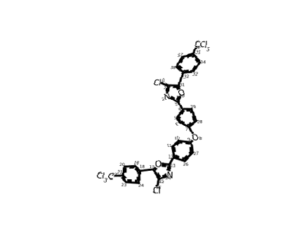 Clc1nc(-c2ccc(Oc3ccc(-c4nc(Cl)c(-c5ccc(C(Cl)(Cl)Cl)cc5)o4)cc3)cc2)oc1-c1ccc(C(Cl)(Cl)Cl)cc1